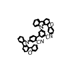 N#Cc1cc(-c2ccc(-n3c4ccccc4c4ccc5oc6ccccc6c5c43)cc2C#N)cc(-n2c3ccccc3c3ccc4oc5ccccc5c4c32)c1